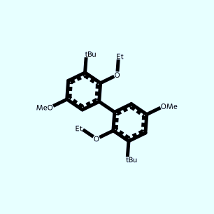 CCOc1c(-c2cc(OC)cc(C(C)(C)C)c2OCC)cc(OC)cc1C(C)(C)C